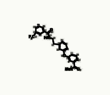 CNC(=O)c1cc(Oc2cccc(CC[AsH]C(=O)c3cccc(C(F)(F)F)c3)c2)ccn1